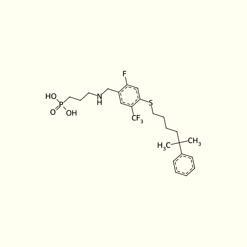 CC(C)(CCCCSc1cc(F)c(CNCCCP(=O)(O)O)cc1C(F)(F)F)c1ccccc1